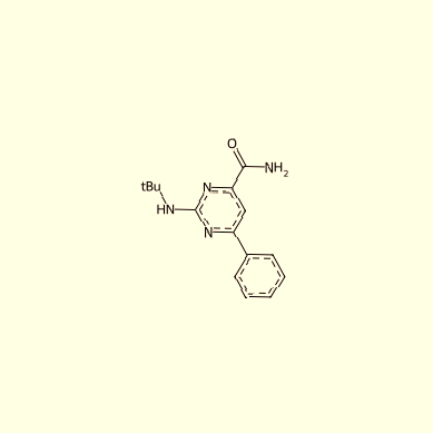 CC(C)(C)Nc1nc(C(N)=O)cc(-c2ccccc2)n1